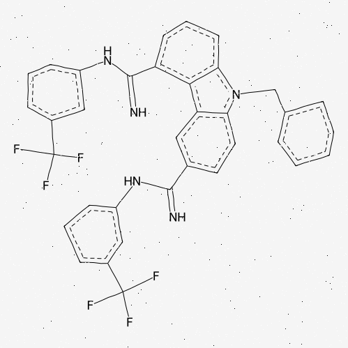 N=C(Nc1cccc(C(F)(F)F)c1)c1ccc2c(c1)c1c(C(=N)Nc3cccc(C(F)(F)F)c3)cccc1n2Cc1ccccc1